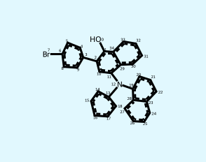 Oc1c(-c2ccc(Br)cc2)cc(N(c2ccccc2)c2cccc3ccccc23)c2ccccc12